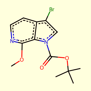 COc1nccc2c(Br)cn(C(=O)OC(C)(C)C)c12